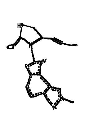 CC#C[C@@H]1CNC(=O)N1c1nc2c(ccc3nn(C)cc32)s1